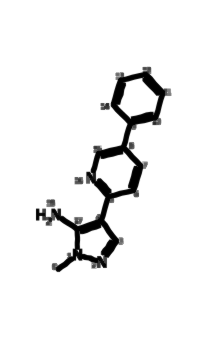 Cn1ncc(-c2ccc(-c3cc[c]cc3)cn2)c1N